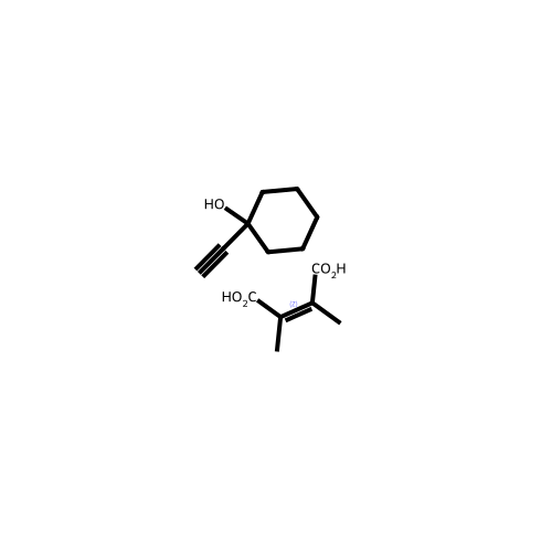 C#CC1(O)CCCCC1.C/C(C(=O)O)=C(\C)C(=O)O